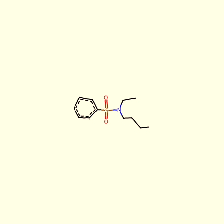 CCCCN(CC)S(=O)(=O)c1[c]cccc1